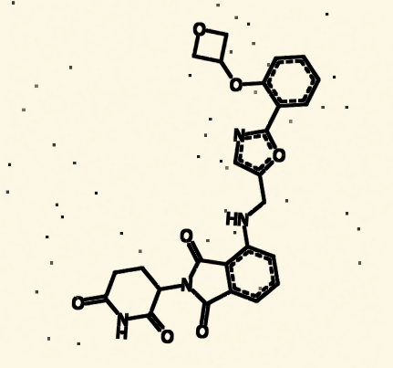 O=C1CCC(N2C(=O)c3cccc(NCc4cnc(-c5ccccc5OC5COC5)o4)c3C2=O)C(=O)N1